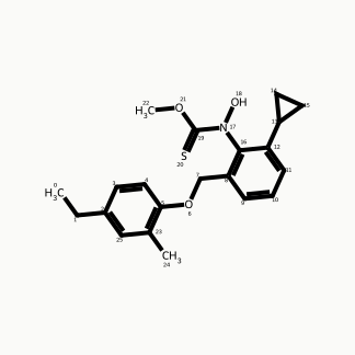 CCc1ccc(OCc2cccc(C3CC3)c2N(O)C(=S)OC)c(C)c1